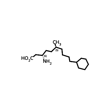 C[C@@H](CCCCC1CCCCC1)CC[C@H](N)CC(=O)O